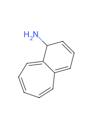 NC1C=CC=C2C=CC=CC=C21